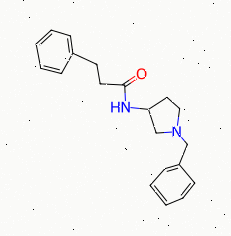 O=C(CCc1ccccc1)NC1CCN(Cc2ccccc2)C1